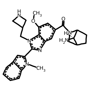 COc1cc(C(=O)N2CC3CCC2[C@@H]3N)cc2nc(-c3cc4ccccc4n3C)n(CC3CNC3)c12